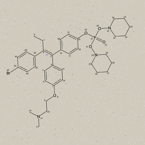 CC/C(=C(/c1ccc(OCCN(C)C)cc1)c1ccc(OP(=O)(ON2CCCCC2)ON2CCCCC2)cc1)c1ccc(Br)cc1